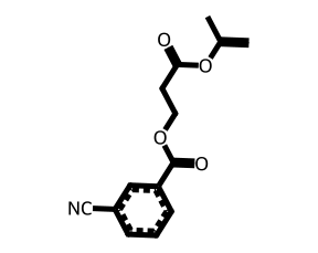 C=C(C)OC(=O)CCOC(=O)c1cccc(C#N)c1